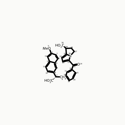 COc1ccc2cc([C@H](C)C(=O)O)ccc2c1.O=C(c1ccccc1)c1ccc2n1CCC2C(=O)O